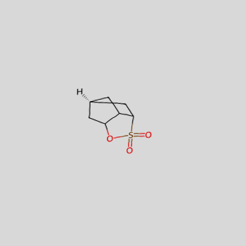 O=S1(=O)OC2C[C@H]3CC2C1C3